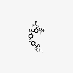 COC(=O)c1ccc(Oc2ccc(C(=O)c3ccc(OC(F)F)c(OC(F)F)c3)cn2)cc1